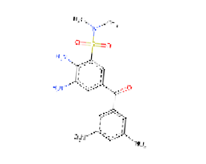 CN(C)S(=O)(=O)c1cc(C(=O)c2cc([N+](=O)[O-])cc([N+](=O)[O-])c2)cc(N)c1N